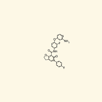 Nc1cc(Oc2ccc(NC(=O)c3c4c(cn(-c5ccc(F)cc5)c3=O)CCO4)cc2F)ccn1